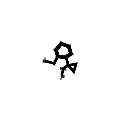 CC(C)Cc1ccccc1C1(NC(C)C)CC1